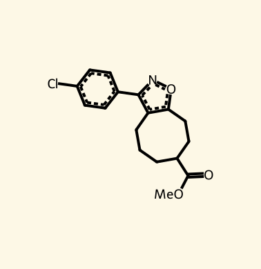 COC(=O)C1CCCc2c(-c3ccc(Cl)cc3)noc2CC1